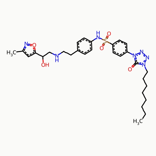 CCCCCCCCn1nnn(-c2ccc(S(=O)(=O)Nc3ccc(CCNCC(O)c4cc(C)no4)cc3)cc2)c1=O